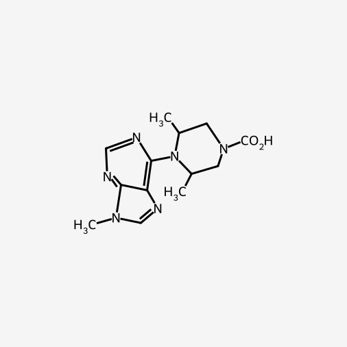 CC1CN(C(=O)O)CC(C)N1c1ncnc2c1ncn2C